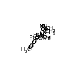 CCc1cc(Nc2ncc(/C=C/C3CC3)c(Nc3ccc4nccnc4c3P(C)C)n2)c(OC)cc1N1CCC(N2CCN(C)CC2)CC1